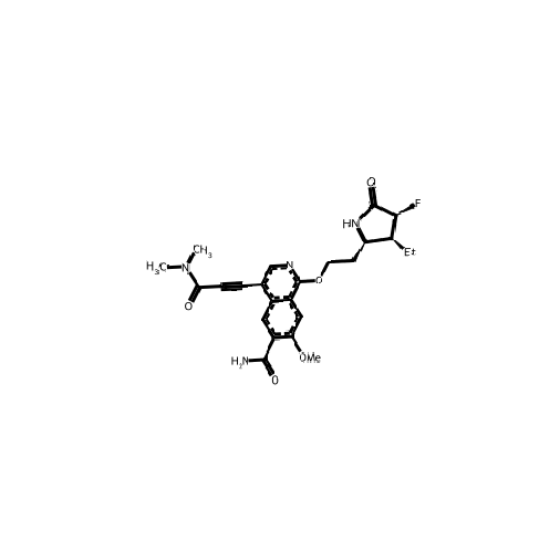 CC[C@@H]1[C@H](F)C(=O)N[C@@H]1CCOc1ncc(C#CC(=O)N(C)C)c2cc(C(N)=O)c(OC)cc12